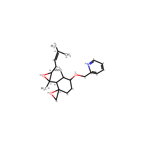 COC1C(OCc2ccccn2)CCC2(CO2)C1C1(C)OC1CC=C(C)C